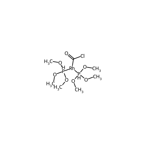 CO[PH](OC)(OC)[Rh]([C](=O)Cl)[PH](OC)(OC)OC